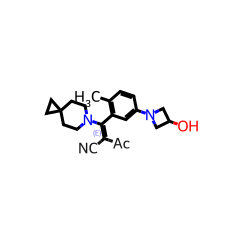 CC(=O)/C(C#N)=C(\c1cc(N2CC(O)C2)ccc1C)N1CCC2(CC1)CC2